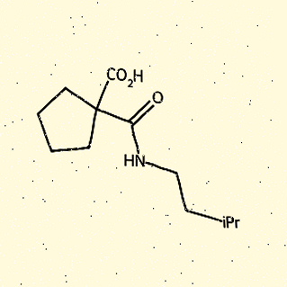 CC(C)CCNC(=O)C1(C(=O)O)CCCC1